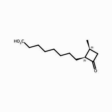 C[C@H]1CC(=O)[C@H]1CCCCCCCC(=O)O